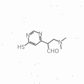 CN(C)CC(C=O)c1cc(S)ncn1